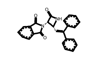 O=C1N[C@H](C=C(c2ccccc2)c2ccccc2)[C@@H]1N1C(=O)c2ccccc2C1=O